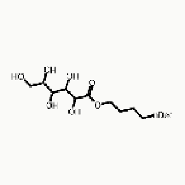 CCCCCCCCCCCCCCOC(=O)C(O)C(O)C(O)C(O)CO